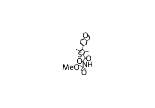 COCC1(NC(=O)C(=O)c2sc(C)c(-c3ccc4occc4c3)c2C)COC1